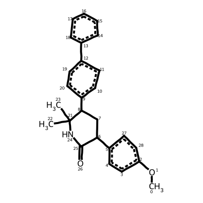 COc1ccc(C2CC(c3ccc(-c4ccccc4)cc3)C(C)(C)NC2=O)cc1